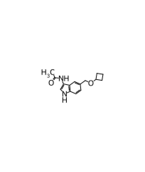 CC(=O)Nc1c[nH]c2ccc(COC3CCC3)cc12